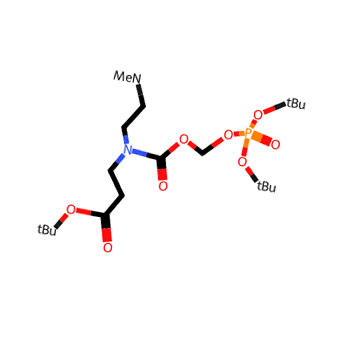 CNCCN(CCC(=O)OC(C)(C)C)C(=O)OCOP(=O)(OC(C)(C)C)OC(C)(C)C